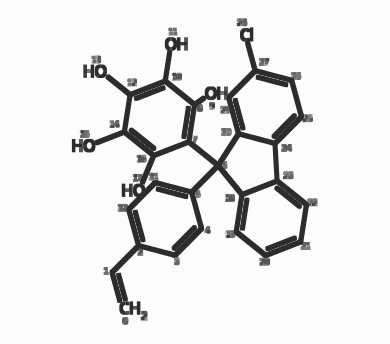 C=Cc1ccc(C2(c3c(O)c(O)c(O)c(O)c3O)c3ccccc3-c3ccc(Cl)cc32)cc1